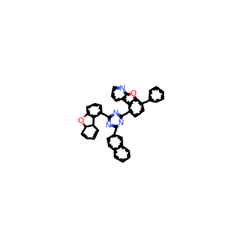 C1=CC2Oc3cccc(-c4nc(-c5ccc6ccccc6c5)nc(-c5ccc(-c6ccccc6)c6oc7ncccc7c56)n4)c3C2C=C1